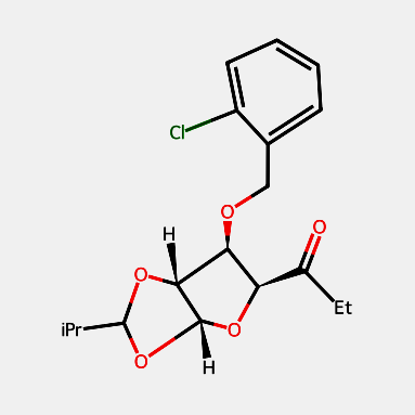 CCC(=O)[C@H]1O[C@@H]2OC(C(C)C)O[C@@H]2[C@H]1OCc1ccccc1Cl